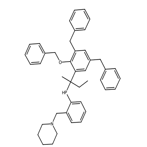 CCC(C)(Pc1ccccc1CN1CCCCC1)c1cc(Cc2ccccc2)cc(Cc2ccccc2)c1OCc1ccccc1